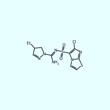 CCC1C=NN(/C(N)=N/S(=O)(=O)c2c(Cl)nc3sccn23)C1